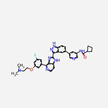 CN(C)CCOc1cc(F)cc(-c2nccc3[nH]c(-c4n[nH]c5ccc(-c6cncc(NC(=O)C7CCC7)c6)cc45)nc23)c1